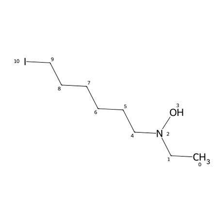 CCN(O)CCCCCCI